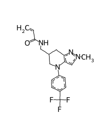 C=CC(=O)NCC1Cc2nn(C)cc2N(c2ccc(C(F)(F)F)cc2)C1